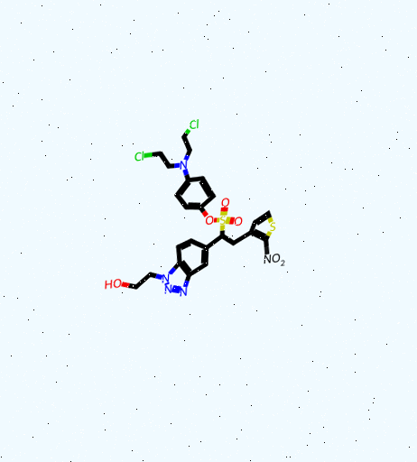 O=[N+]([O-])c1sccc1CC(c1ccc2c(c1)nnn2CCO)S(=O)(=O)Oc1ccc(N(CCCl)CCCl)cc1